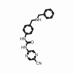 N#Cc1cnc(NC(=O)Nc2ccc(CNCc3ccccc3)cc2)cn1